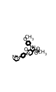 COc1ccc(-n2nc(S(C)(=O)=O)c3c2C(=O)N(c2ccc(N4C=NCCC4)cc2)CC3)cc1